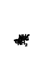 CCCCC(CC)COc1cc(N)c(OCC)cc1N